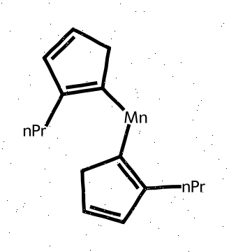 CCCC1=[C]([Mn][C]2=C(CCC)C=CC2)CC=C1